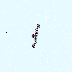 C=CC(=O)OCCCCCCOc1ccc(OCC2CCC(C(=O)Oc3ccc(OC(=O)C4CCC(COc5ccc(OCCCCCCOC(=O)C=C)cc5)CC4)c(/C=N/Nc4nc5ccccc5s4)c3)CC2)cc1